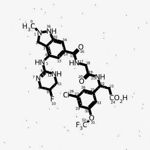 CN1Cc2c(NC3=NCC(F)CN3)cc(C(=O)NCC(=O)NC(CC(=O)O)c3cc(Cl)cc(OC(F)(F)F)c3)cc2N1